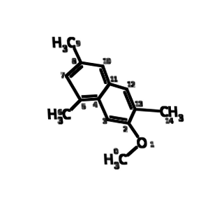 COc1cc2c(C)cc(C)cc2cc1C